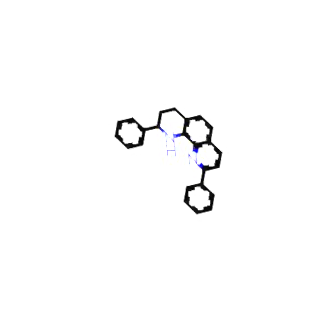 c1ccc(-c2ccc3ccc4c(c3n2)NC(c2ccccc2)CC4)cc1